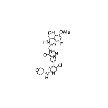 COc1cc(F)cc(C(CO)NC(=O)Cn2cnn3cc(-c4nc(NC5CCOCC5)ncc4Cl)cc3c2=O)c1